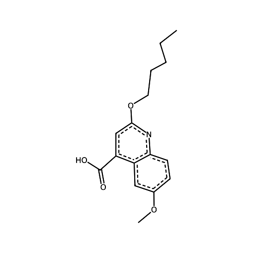 CCCCCOc1cc(C(=O)O)c2cc(OC)ccc2n1